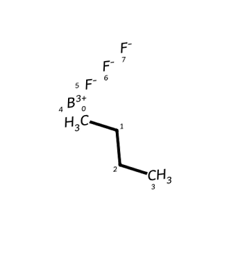 CCCC.[B+3].[F-].[F-].[F-]